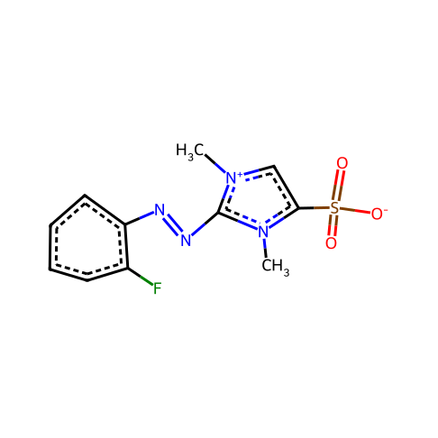 Cn1c(S(=O)(=O)[O-])c[n+](C)c1N=Nc1ccccc1F